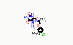 COc1cc(OCC(C)NC(=O)c2[nH]c(=O)[nH]c(=O)c2N)ccc1Cl